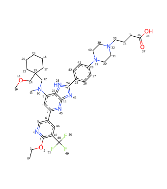 CCOc1ncc(-c2cc(N(C)CC3(COC)CCCCC3)c3[nH]c(-c4ccc(N5CCN(CCCC(=O)O)CC5)cc4)nc3n2)cc1C(F)(F)F